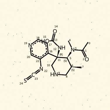 CC(=O)N(C)[C@H]1[C@@H](C)CNC[C@]1(NC(=O)O)c1ccncc1N=C=S